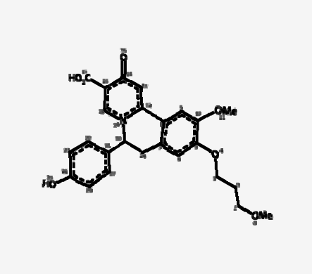 COCCCOc1cc2c(cc1OC)-c1cc(=O)c(C(=O)O)cn1C(c1ccc(O)cc1)C2